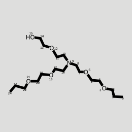 CCCOCCOCCN(CCOCCO)CCOCCOCCC